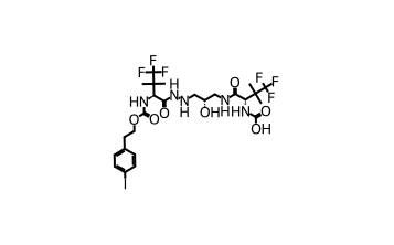 CC(C)([C@H](NC(=O)O)C(=O)NC[C@H](O)CNNC(=O)[C@@H](NC(=O)OCCc1ccc(I)cc1)C(C)(C)C(F)(F)F)C(F)(F)F